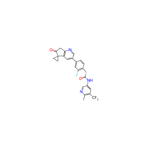 Cc1ncc(NC(=O)Cc2ccc(-c3cnc4c(c3)C3(CC3)C(=O)C4)cc2F)cc1C(F)(F)F